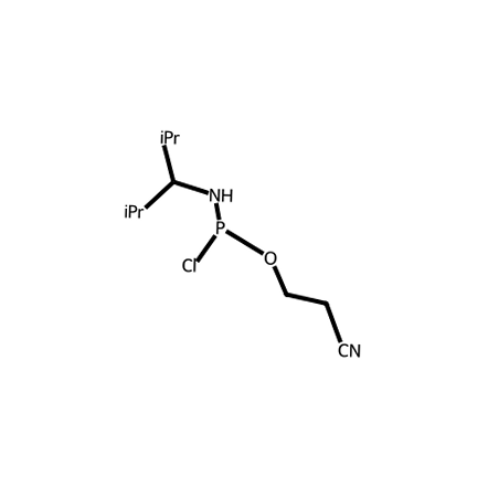 CC(C)C(NP(Cl)OCCC#N)C(C)C